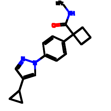 CCCNC(=O)C1(c2ccc(-n3cc(C4CC4)cn3)cc2)CCC1